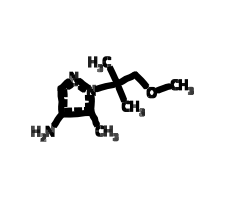 COCC(C)(C)n1ncc(N)c1C